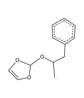 [CH2]C(Cc1ccccc1)OC1OC=CO1